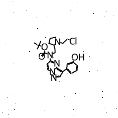 CC(C)(C)OC(=O)N(CC1CCCN1CCCl)c1ccn2ncc(-c3cccc(O)c3)c2n1